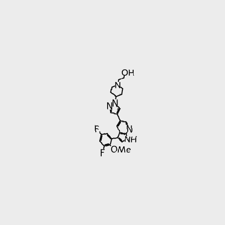 COc1c(F)cc(F)cc1-c1c[nH]c2ncc(-c3cnn(C4CCN(CCO)CC4)c3)cc12